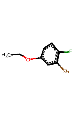 CCOc1ccc(F)c(S)c1